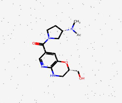 CC(=O)N(C)[C@H]1CCN(C(=O)c2cnc3c(c2)O[C@H](CO)CN3)C1